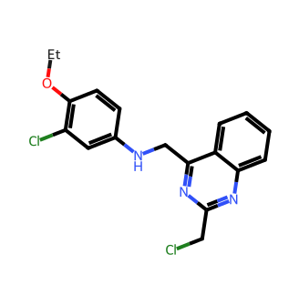 CCOc1ccc(NCc2nc(CCl)nc3ccccc23)cc1Cl